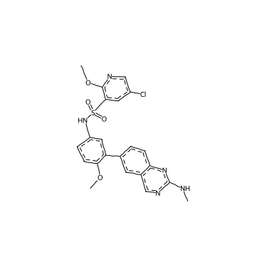 CNc1ncc2cc(-c3cc(NS(=O)(=O)c4cc(Cl)cnc4OC)ccc3OC)ccc2n1